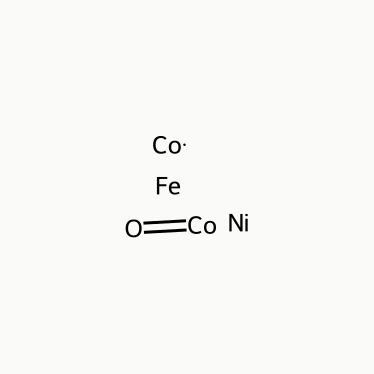 [Co].[Fe].[Ni].[O]=[Co]